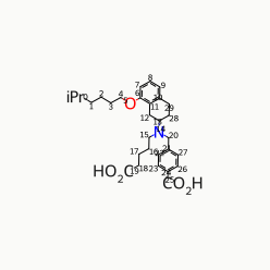 CC(C)CCCCOc1cccc2c1CC(N(CCCCC(=O)O)Cc1ccc(C(=O)O)cc1)CC2